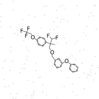 CC(COCc1cccc(Oc2ccccc2)c1)(c1ccc(OCC(F)(F)F)cc1)C(F)F